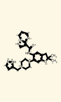 CC1(C)Cc2cc(NC(=O)c3cnn4cccnc34)c(N3CCN(Cc4ccn[nH]4)CC3)cc2O1